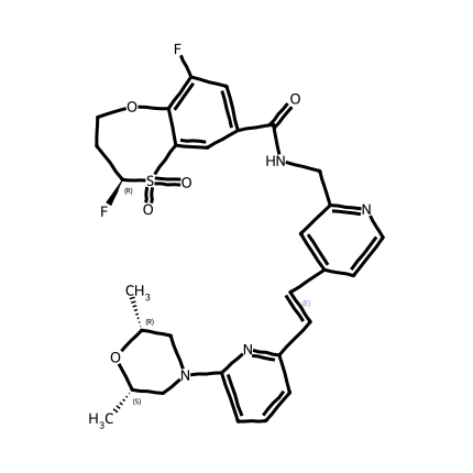 C[C@@H]1CN(c2cccc(/C=C/c3ccnc(CNC(=O)c4cc(F)c5c(c4)S(=O)(=O)[C@@H](F)CCO5)c3)n2)C[C@H](C)O1